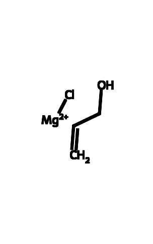 C=CCO.[Mg+2][Cl]